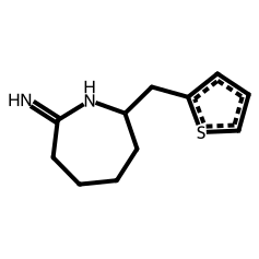 N=C1CCCCC(Cc2cccs2)N1